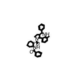 Cc1cccc2c1NC(c1ccccc1)C1CCN(C(=O)[C@H]3CCCC[C@H]3NC(=O)c3ccccc3)C21